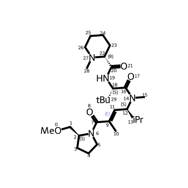 COC[C@@H]1CCCN1C(=O)/C(C)=C/[C@H](C(C)C)N(C)C(=O)[C@@H](NC(=O)[C@H]1CCCCN1C)C(C)(C)C